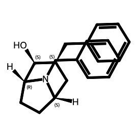 O[C@H]1[C@@H](Cc2ccccc2)C[C@@H]2CC[C@H]1N2Cc1ccccc1